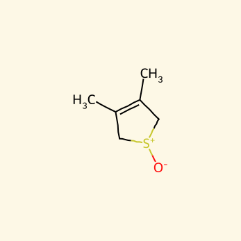 CC1=C(C)C[S+]([O-])C1